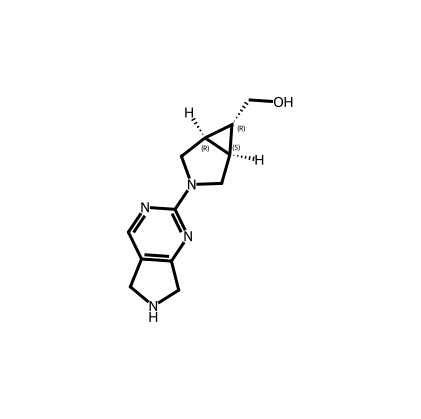 OC[C@@H]1[C@H]2CN(c3ncc4c(n3)CNC4)C[C@@H]12